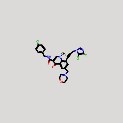 Cn1cc(C(=O)NCc2ccc(Cl)cc2)c(=O)c2cc(CN3CCOCC3)cc(C#CCn3cnc(Cl)c3Cl)c21